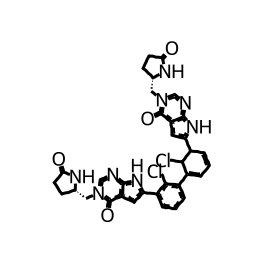 O=C1CC[C@@H](Cn2cnc3[nH]c(-c4cccc(C5=CC=CC(c6cc7c(=O)n(C[C@@H]8CCC(=O)N8)cnc7[nH]6)C5Cl)c4Cl)cc3c2=O)N1